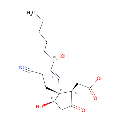 CCCCC[C@H](O)/C=C/[C@@]1(CCC#N)[C@H](O)CC(=O)[C@@H]1CC(=O)O